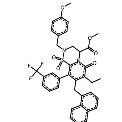 CCc1c(Cc2cccc3ccccc23)c(-c2cccc(C(F)(F)F)c2)c2n(c1=O)C(C(=O)OC)CN(Cc1ccc(OC)cc1)S2(=O)=O